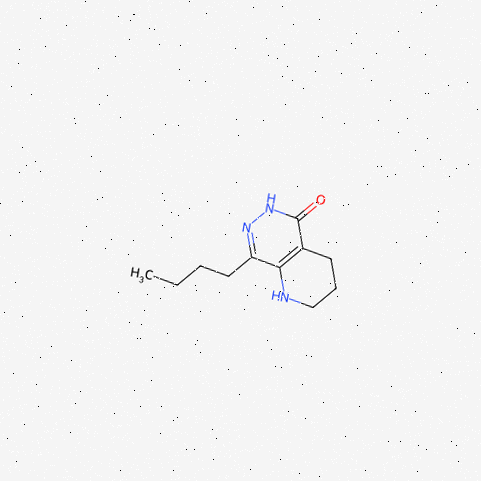 CCCCc1n[nH]c(=O)c2c1NCCC2